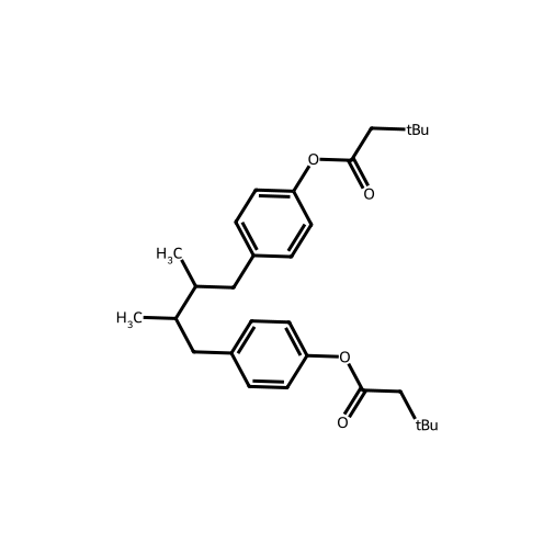 CC(Cc1ccc(OC(=O)CC(C)(C)C)cc1)C(C)Cc1ccc(OC(=O)CC(C)(C)C)cc1